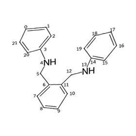 c1ccc(NCc2ccccc2CNc2ccccc2)cc1